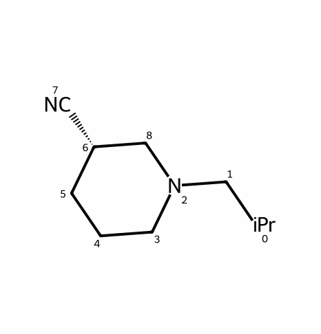 CC(C)CN1CCC[C@H](C#N)C1